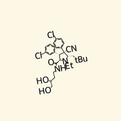 CCN1[C@@H](CC(C)(C)C)[C@](C#N)(c2ccc(Cl)cc2)[C@@H](c2cccc(Cl)c2)[C@@H]1C(=O)NCC[C@H](O)CO